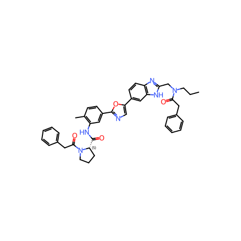 CCCN(Cc1nc2ccc(-c3cnc(-c4ccc(C)c(NC(=O)[C@@H]5CCCN5C(=O)Cc5ccccc5)c4)o3)cc2[nH]1)C(=O)Cc1ccccc1